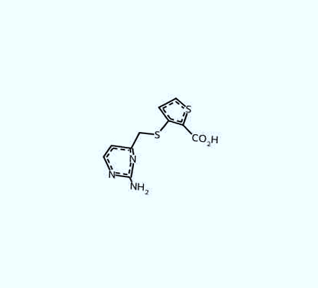 Nc1nccc(CSc2ccsc2C(=O)O)n1